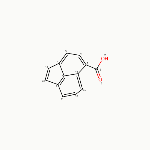 O=C(O)c1ccc2c3c(cccc13)C=C2